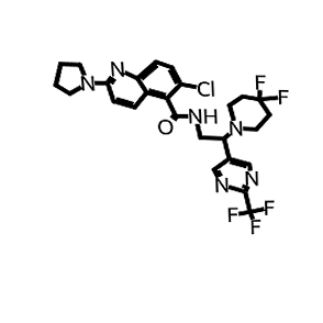 O=C(NCC(c1cnc(C(F)(F)F)nc1)N1CCC(F)(F)CC1)c1c(Cl)ccc2nc(N3CCCC3)ccc12